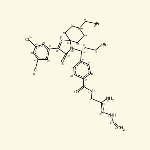 C=NN/N=C(\N)CNC(=O)c1ccc([C@@H](CCC(C)(C)C)N2C(=O)C(c3cc(Cl)cc(Cl)c3)=NC23CCN(CC(C)C)CC3)cc1